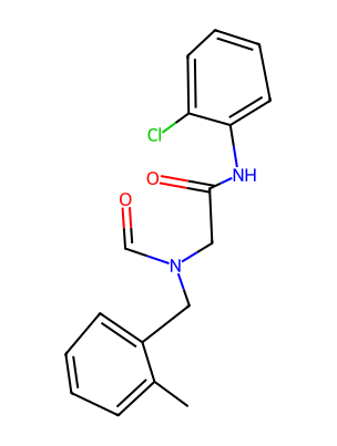 Cc1ccccc1CN(C=O)CC(=O)Nc1ccccc1Cl